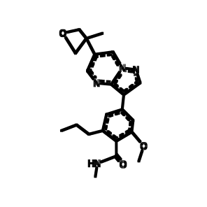 CCCc1cc(-c2cnn3cc(C4(C)COC4)cnc23)cc(OC)c1C(=O)NC